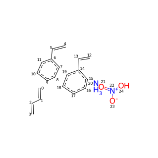 C=CC=C.C=Cc1ccccc1.C=Cc1ccccc1.N.O=[N+]([O-])O